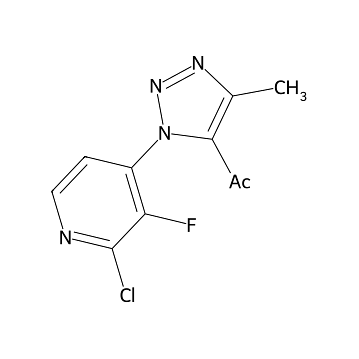 CC(=O)c1c(C)nnn1-c1ccnc(Cl)c1F